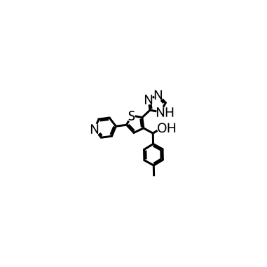 CC1=C=C=C(C(O)c2cc(-c3ccncc3)sc2-c2nnc[nH]2)C=C1